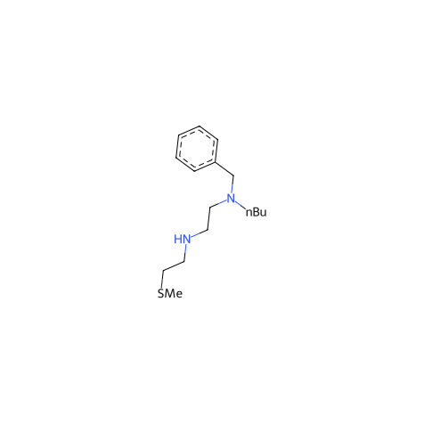 CCCCN(CCNCCSC)Cc1ccccc1